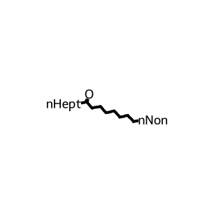 CCCCCCCCCCCCCCCCC(=O)CCCCCCC